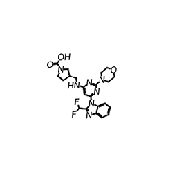 O=C(O)N1CC[C@H](CNc2cc(-n3c(C(F)F)nc4ccccc43)nc(N3CCOCC3)n2)C1